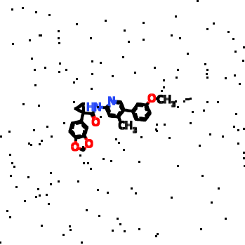 COc1cccc(-c2cnc(NC(=O)C3(c4ccc5c(c4)OCO5)CC3)cc2C)c1